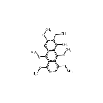 COc1cc2c(OC)c3c(OC)ccc(OC)c3c(OC)c2c(C)c1CO